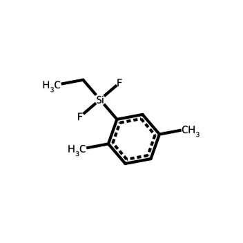 CC[Si](F)(F)c1cc(C)ccc1C